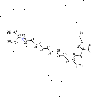 [CH2]CCCC(CC)CCC(CC)CCCCCCCCCC/C=C/C(C[CH2])CC